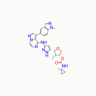 Cn1ncc2cc(-c3cnn4ccnc(Nc5cc([C@@H]6OC[C@H](OC(=O)NC7(C)CC7)[C@H]6F)[nH]n5)c34)ccc21